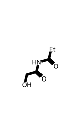 CCC(=O)NC(=O)CO